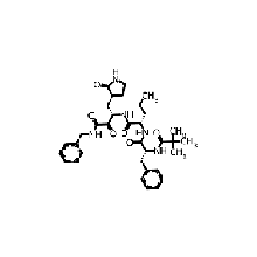 CCC[C@H](NC(=O)[C@@H](Cc1ccccc1)NC(=O)C(C)(C)C)C(=O)N[C@@H](C[C@@H]1CCNC1=O)C(=O)C(=O)NCc1ccccc1